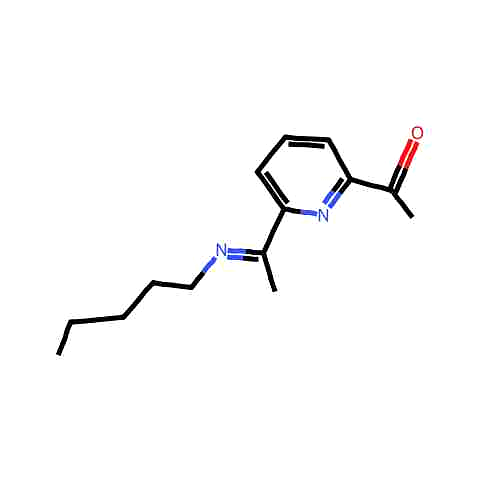 CCCCC/N=C(\C)c1cccc(C(C)=O)n1